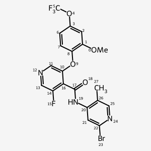 COc1cc(OC(F)(F)F)ccc1Oc1cncc(F)c1C(=O)Nc1cc(Br)ncc1C